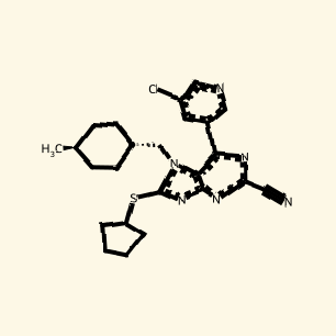 C[C@H]1CC[C@H](Cn2c(SC3CCCC3)nc3nc(C#N)nc(-c4cncc(Cl)c4)c32)CC1